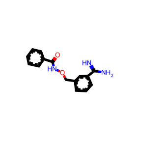 N=C(N)c1cccc(CONC(=O)c2ccccc2)c1